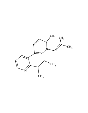 CCC(C)c1ncccc1C1=CN(C=C(C)C)C(C)C=C1